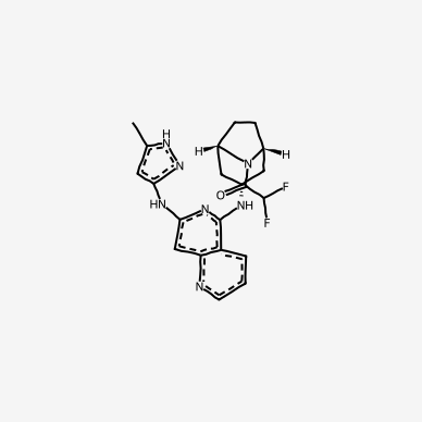 Cc1cc(Nc2cc3ncccc3c(N[C@H]3C[C@H]4CC[C@@H](C3)N4C(=O)C(F)F)n2)n[nH]1